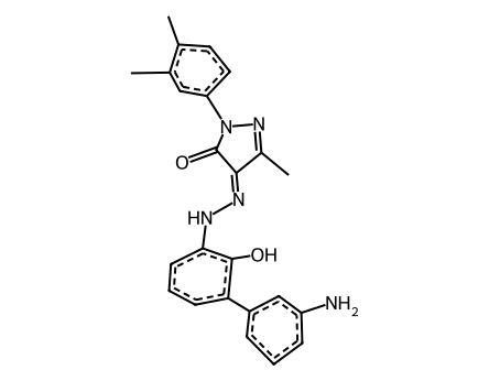 CC1=NN(c2ccc(C)c(C)c2)C(=O)/C1=N\Nc1cccc(-c2cccc(N)c2)c1O